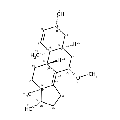 CO[C@H]1C[C@@H]2C[C@@H](O)C=C[C@]2(C)[C@H]2CC[C@@]3(C)C(=C12)CC[C@@H]3O